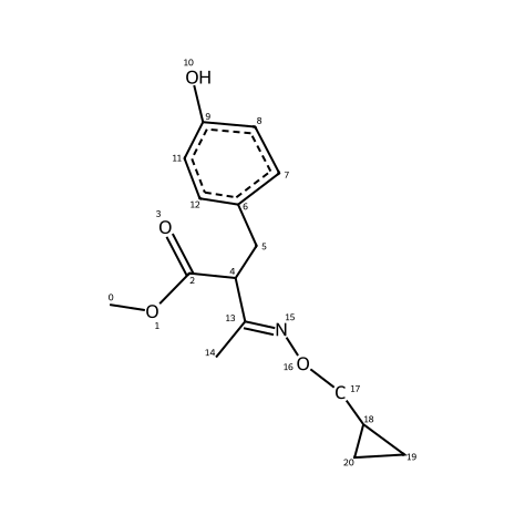 COC(=O)C(Cc1ccc(O)cc1)C(C)=NOCC1CC1